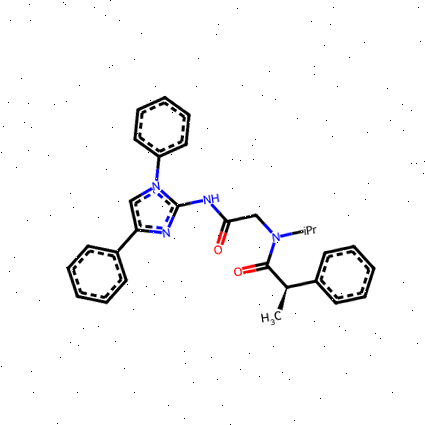 CC(C)N(CC(=O)Nc1nc(-c2ccccc2)cn1-c1ccccc1)C(=O)[C@H](C)c1ccccc1